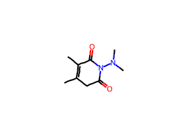 CC1=C(C)C(=O)N(N(C)C)C(=O)C1